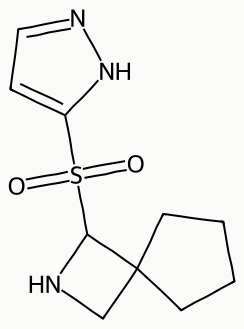 O=S(=O)(c1ccn[nH]1)C1NCC12CCCC2